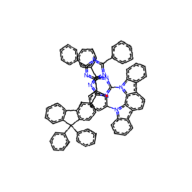 c1ccc(-c2nc(-c3ccccc3)nc(-c3cccc(-n4c5ccccc5c5ccc6c7ccccc7n(-c7nc(-c8ccccc8)nc(-c8ccc9c(c8)-c8ccccc8C9(c8ccccc8)c8ccccc8)n7)c6c54)c3)n2)cc1